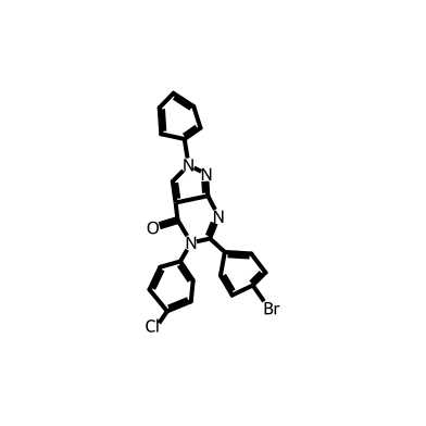 O=c1c2cn(-c3ccccc3)nc2nc(-c2ccc(Br)cc2)n1-c1ccc(Cl)cc1